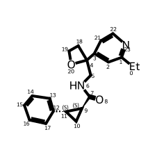 CCc1cc(C2(CNC(=O)[C@H]3C[C@@H]3c3ccccc3)CCO2)ccn1